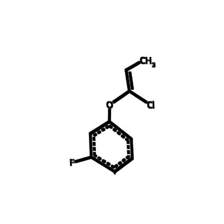 CC=C(Cl)Oc1cc[c]c(F)c1